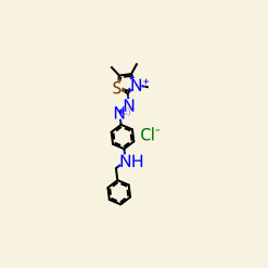 Cc1sc(/N=N/c2ccc(NCc3ccccc3)cc2)[n+](C)c1C.[Cl-]